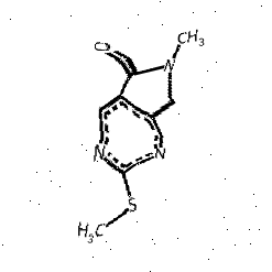 CSc1ncc2c(n1)CN(C)C2=O